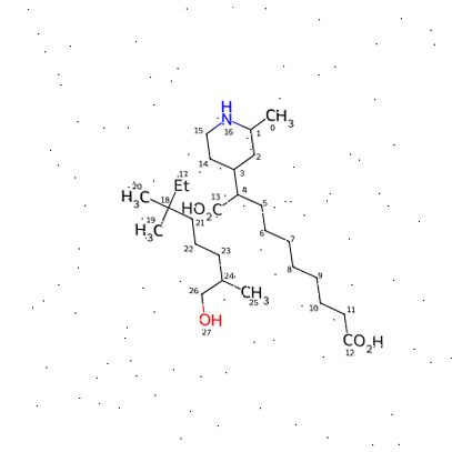 CC1CC(C(CCCCCCCC(=O)O)C(=O)O)CCN1.CCC(C)(C)CCCC(C)CO